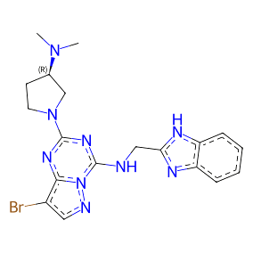 CN(C)[C@@H]1CCN(c2nc(NCc3nc4ccccc4[nH]3)n3ncc(Br)c3n2)C1